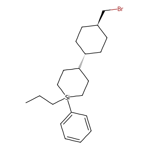 CCC[Si]1(c2ccccc2)CCC([C@H]2CC[C@H](CBr)CC2)CC1